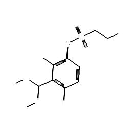 CCCS(=O)(=O)Nc1ccc(F)c(C(OC)OC)c1F